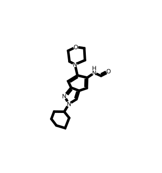 O=CNc1cc2cn(C3CCCCC3)nc2cc1N1CCOCC1